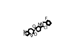 CN1C(=O)C(N2CCc3c(nn(Cc4ccccc4F)c3Cl)C2=O)CCc2c1cnn2C